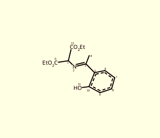 CCOC(=O)C(N=C(C)c1ccccc1O)C(=O)OCC